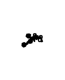 CCOC(=O)C1CC(=O)N(c2cc(-c3ccccc3)c3cc(/C=C/c4ccccc4)ccc3n2)C1